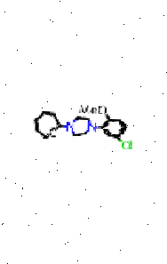 COc1ccc(Cl)cc1N1CCN(C2CCCCCC2)CC1